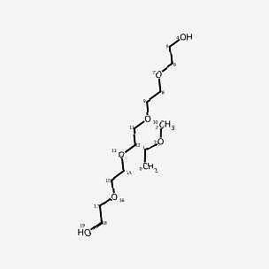 CCOC.OCCOCCOCCOCCOCCO